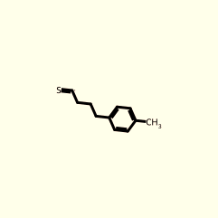 Cc1ccc(CCC[C]=S)cc1